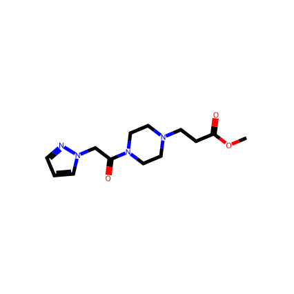 COC(=O)CCN1CCN(C(=O)Cn2cccn2)CC1